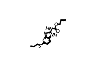 C=CCOC(=O)Nc1nc2cc(SCCC)ccc2[nH]1